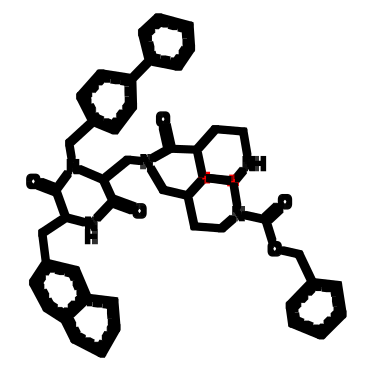 O=C1NC(Cc2ccc3ccccc3c2)C(=O)N(Cc2ccc(-c3ccccc3)cc2)C1CN(CC1CCN(C(=O)OCc2ccccc2)CC1)C(=O)C1CCNCC1